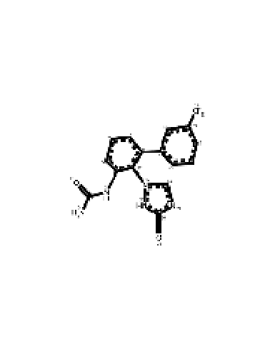 NC(=O)Nc1cccc(-c2cccc(C(F)(F)F)c2)c1-n1cnc(=O)[nH]1